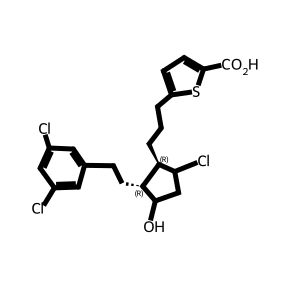 O=C(O)c1ccc(CCC[C@H]2C(Cl)CC(O)[C@@H]2CCc2cc(Cl)cc(Cl)c2)s1